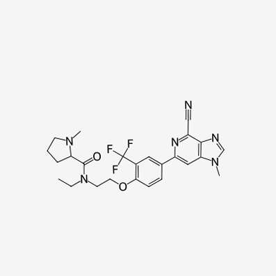 CCN(CCOc1ccc(-c2cc3c(ncn3C)c(C#N)n2)cc1C(F)(F)F)C(=O)C1CCCN1C